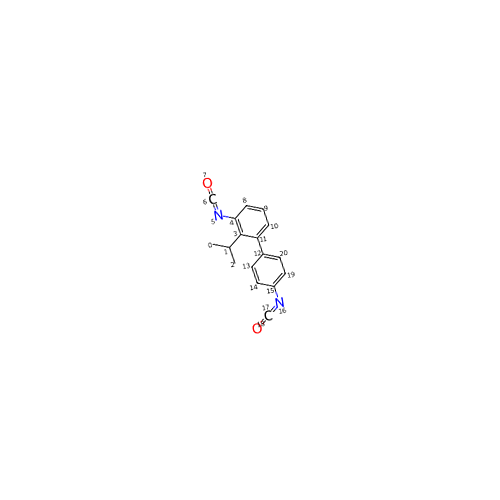 CC(C)c1c(N=C=O)cccc1-c1ccc(N=C=O)cc1